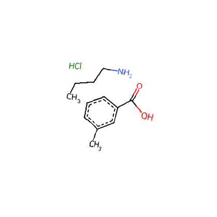 CCCCN.Cc1cccc(C(=O)O)c1.Cl